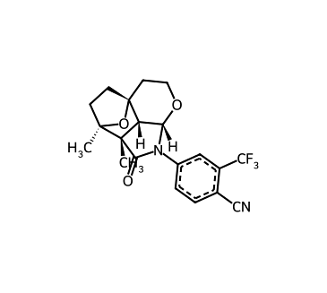 C[C@@]12CC[C@]3(CCO[C@H]4[C@@H]3[C@]1(C)C(=O)N4c1ccc(C#N)c(C(F)(F)F)c1)O2